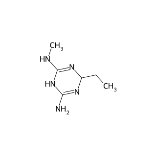 CCC1N=C(N)NC(NC)=N1